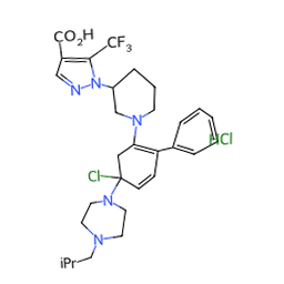 CC(C)CN1CCN(C2(Cl)C=CC(c3ccccc3)=C(N3CCCC(n4ncc(C(=O)O)c4C(F)(F)F)C3)C2)CC1.Cl